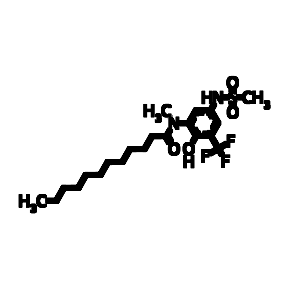 CCCCCCCCCCCC(=O)N(C)c1cc(NS(C)(=O)=O)cc(C(F)(F)F)c1O